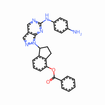 Nc1ccc(Nc2ncc3cnn(C4CCc5c(OC(=O)c6ccccc6)cccc54)c3n2)cc1